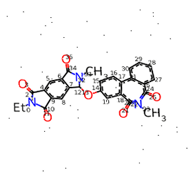 CCN1C(=O)c2cc3c(cc2C1=O)C(Oc1ccc2c(c1)c(=O)n(C)c(=O)c1ccccc12)N(C)C3=O